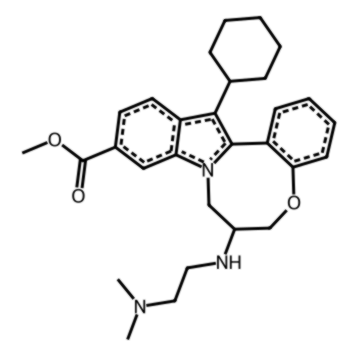 COC(=O)c1ccc2c(C3CCCCC3)c3n(c2c1)CC(NCCN(C)C)COc1ccccc1-3